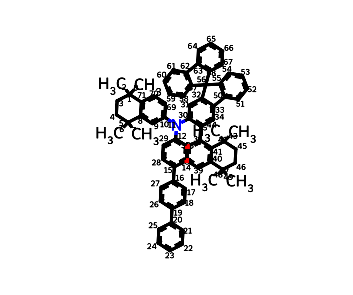 CC1(C)CCC(C)(C)c2cc(N(c3ccc(-c4ccc(-c5ccccc5)cc4)cc3)c3cc4c(cc3-c3cccc5c3C(C)(C)CCC5(C)C)-c3ccccc3C43c4ccccc4-c4ccccc43)ccc21